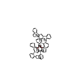 N#Cc1ccccc1-c1ccc2c(c1)c1ccccc1n2-c1cccnc1-c1c(-c2nc(-c3ccccc3)nc(-c3ccccc3)n2)cccc1-n1c2ccccc2c2cc(-c3ccccc3C#N)ccc21